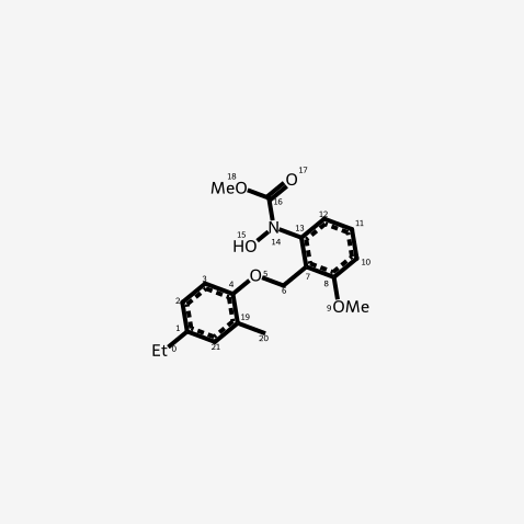 CCc1ccc(OCc2c(OC)cccc2N(O)C(=O)OC)c(C)c1